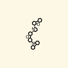 c1cc(-c2ccc3oc4ccc(-n5c6ccccc6c6ccccc65)cc4c3c2)nc(-c2cccc3c2oc2ccccc23)c1